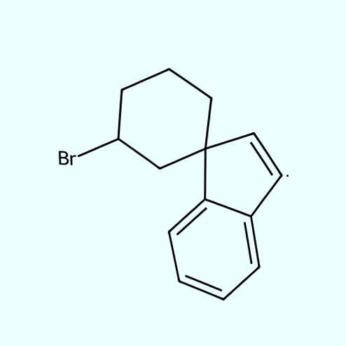 BrC1CCCC2(C=[C]c3ccccc32)C1